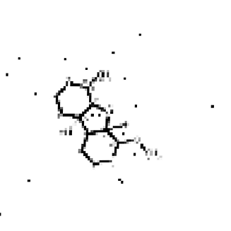 CO[C@H]1OCCC2[C@H]3CCO[C@@H](C)C3O[C@@H]21